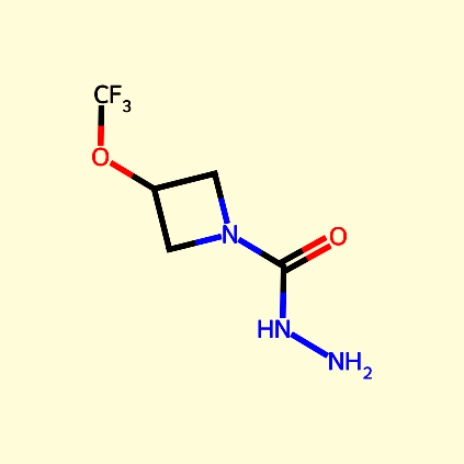 NNC(=O)N1CC(OC(F)(F)F)C1